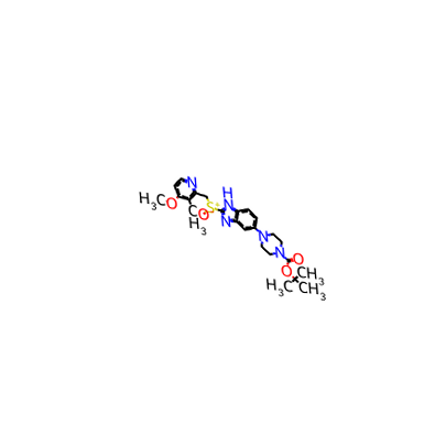 COc1ccnc(C[S+]([O-])c2nc3cc(N4CCN(C(=O)OC(C)(C)C)CC4)ccc3[nH]2)c1C